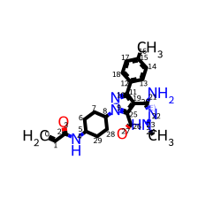 C=CC(=O)NC1CCC(n2nc(-c3ccc(C)cc3)c(/C(N)=N\NC)c2C=O)CC1